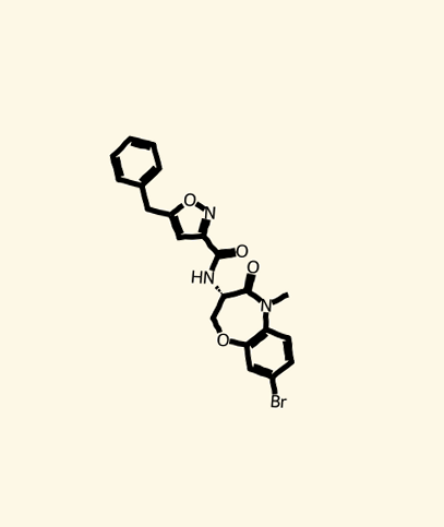 CN1C(=O)[C@@H](NC(=O)c2cc(Cc3ccccc3)on2)COc2cc(Br)ccc21